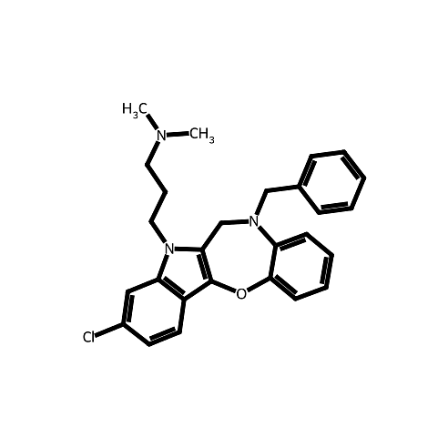 CN(C)CCCn1c2c(c3ccc(Cl)cc31)Oc1ccccc1N(Cc1ccccc1)C2